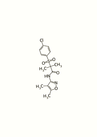 Cc1onc(NC(=O)C(C)(C)S(=O)(=O)c2ccc(Cl)cc2)c1C